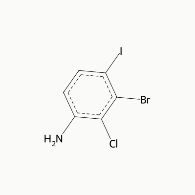 Nc1ccc(I)c(Br)c1Cl